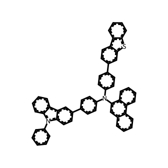 c1ccc(-n2c3ccccc3c3cc(-c4ccc(N(c5ccc(-c6ccc7c(c6)sc6ccccc67)cc5)c5cc6ccccc6c6ccccc56)cc4)ccc32)cc1